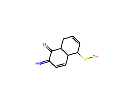 N=C1C=CC2C(SO)C=CCC2C1=O